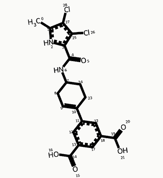 Cc1[nH]c(C(=O)NC2CC=C(c3cc(C(=O)O)cc(C(=O)O)c3)CC2)c(Cl)c1Cl